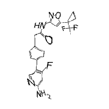 CC(F)(F)C1(c2cc(NC(=O)Cc3ccc(-c4cnc(N)cc4F)cc3)no2)CC1